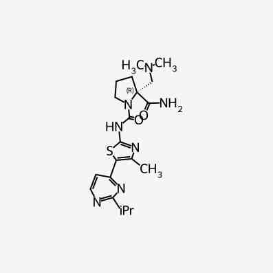 Cc1nc(NC(=O)N2CCC[C@@]2(CN(C)C)C(N)=O)sc1-c1ccnc(C(C)C)n1